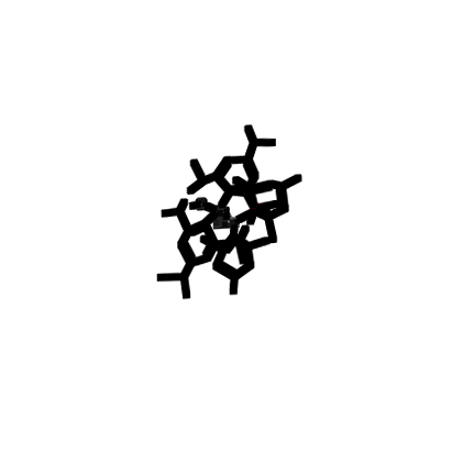 C[O][Sn]([c]1c(C(C)C)cc(C(C)C)cc1C(C)C)([c]1c(C(C)C)cc(C(C)C)cc1C(C)C)[GeH]([c]1c(C)cc(C)cc1C)[c]1c(C)cc(C)cc1C